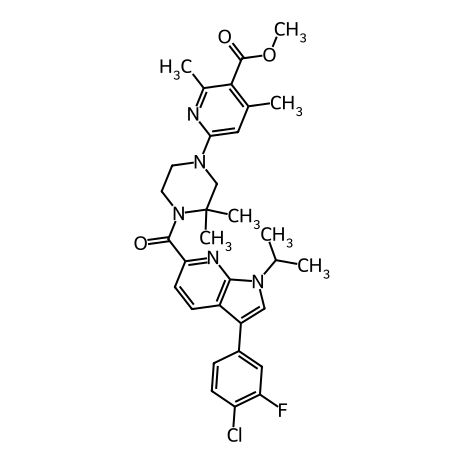 COC(=O)c1c(C)cc(N2CCN(C(=O)c3ccc4c(-c5ccc(Cl)c(F)c5)cn(C(C)C)c4n3)C(C)(C)C2)nc1C